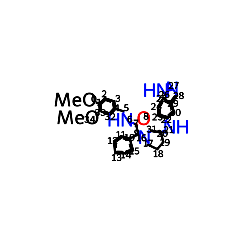 COc1ccc(CNC(=O)C(c2ccccc2)N2CCCC(Nc3ccc4[nH]ncc4c3)C2)cc1OC